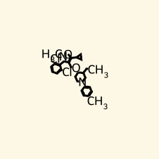 CCC1CN(c2ccc(C)cc2)CCC1OCC1=C(C2CC2)ON(C)C1c1c(Cl)cccc1Cl